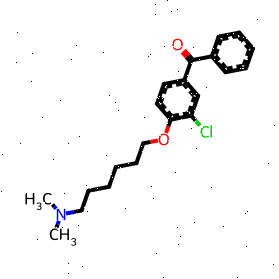 CN(C)CCCCCCOc1ccc(C(=O)c2ccccc2)cc1Cl